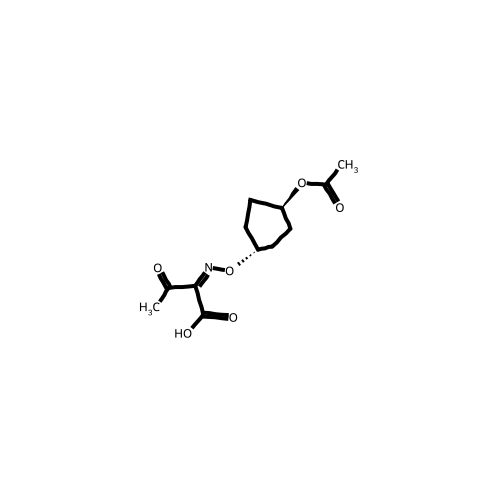 CC(=O)O[C@H]1CC[C@H](ON=C(C(C)=O)C(=O)O)CC1